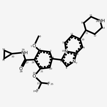 COc1cc(-c2cnc3cc(C4CCNCC4)ccn23)cc(OC(F)F)c1C(=O)NC1CC1